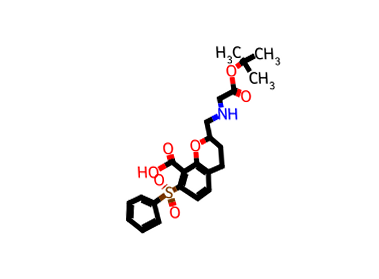 CC(C)(C)OC(=O)CNCC1CCc2ccc(S(=O)(=O)c3ccccc3)c(C(=O)O)c2O1